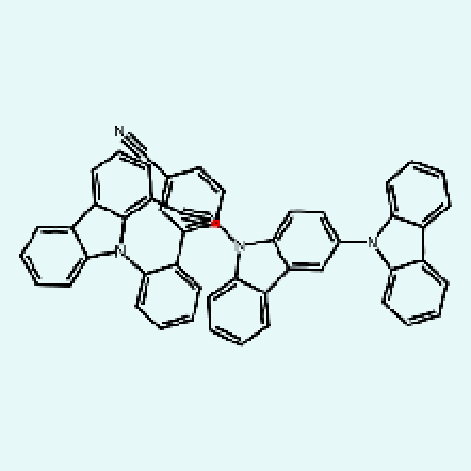 N#Cc1ccc(-n2c3ccccc3c3cc(-n4c5ccccc5c5ccccc54)ccc32)c(-c2ccccc2-n2c3ccccc3c3cccc(C#N)c32)c1